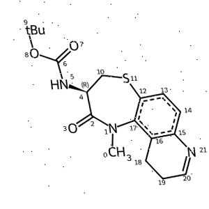 CN1C(=O)[C@@H](NC(=O)OC(C)(C)C)CSc2ccc3c(c21)CCC=N3